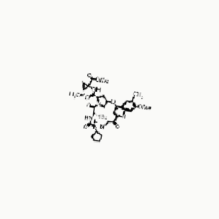 C=C[C@@H]1C[C@]1(NC(=O)[C@@H]1C[C@@H](Oc2cc(C(=O)CBr)nc3cc(OC)c(C)cc23)CN1C(=O)[C@@H](NC(=O)NC1CCCC1)C(C)(C)C)C(=O)OC